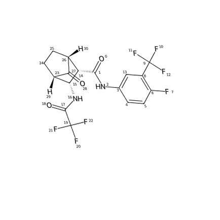 O=C(Nc1ccc(F)c(C(F)(F)F)c1)[C@@H]1[C@H](NC(=O)C(F)(F)F)[C@@H]2CC[C@H]1C2=O